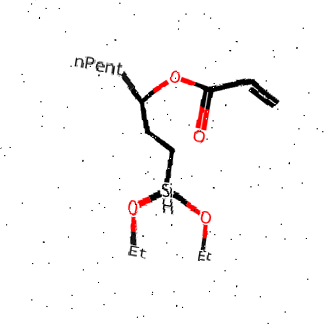 C=CC(=O)OC(CCCCC)CC[SiH](OCC)OCC